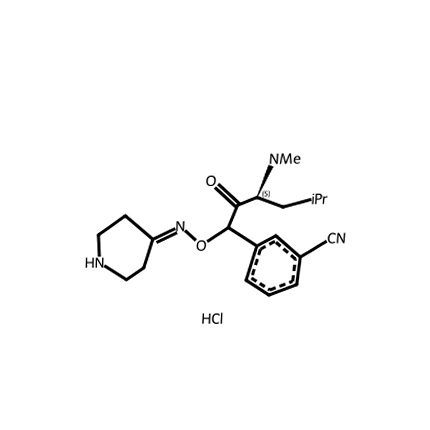 CN[C@@H](CC(C)C)C(=O)C(ON=C1CCNCC1)c1cccc(C#N)c1.Cl